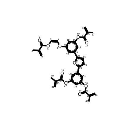 C=C(C)C(=O)O/C=C\Oc1cc(OC(=O)C(=C)C)cc(-c2ccc(-c3cc(OC(=O)C(=C)C)cc(OC(=O)C(=C)C)c3)o2)c1